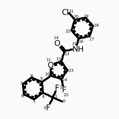 CC(F)(F)c1ccccc1-c1oc(C(=O)Nc2cccc(Cl)c2)cc1F